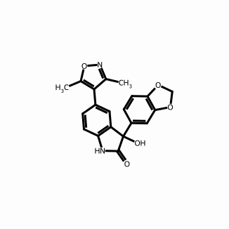 Cc1noc(C)c1-c1ccc2c(c1)C(O)(c1ccc3c(c1)OCO3)C(=O)N2